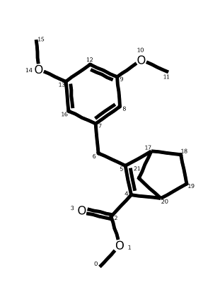 COC(=O)C1=C(Cc2cc(OC)cc(OC)c2)C2CCC1C2